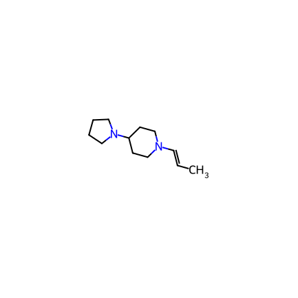 CC=CN1CCC(N2CCCC2)CC1